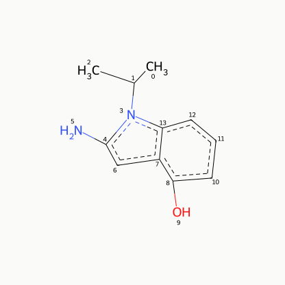 CC(C)n1c(N)cc2c(O)cccc21